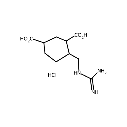 Cl.N=C(N)NCC1CCC(C(=O)O)CC1C(=O)O